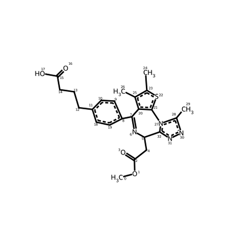 COC(=O)CC1N=C(c2ccc(CCCC(=O)O)cc2)c2c(sc(C)c2C)-n2c(C)nnc21